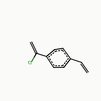 C=Cc1ccc(C(=C)Cl)cc1